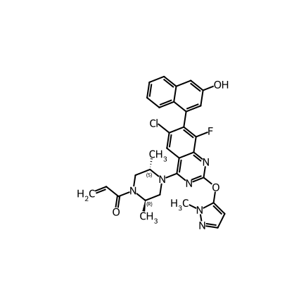 C=CC(=O)N1C[C@H](C)N(c2nc(Oc3ccnn3C)nc3c(F)c(-c4cc(O)cc5ccccc45)c(Cl)cc23)C[C@H]1C